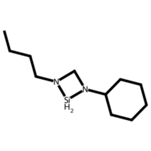 CCCCN1CN(C2CCCCC2)[SiH2]1